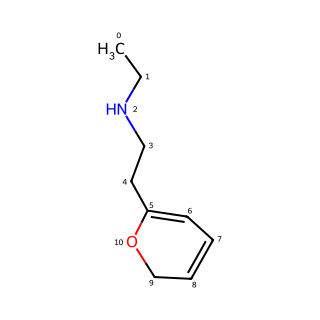 CCNCCC1=CC=CCO1